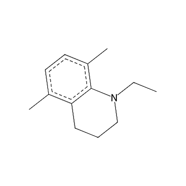 CCN1CCCc2c(C)ccc(C)c21